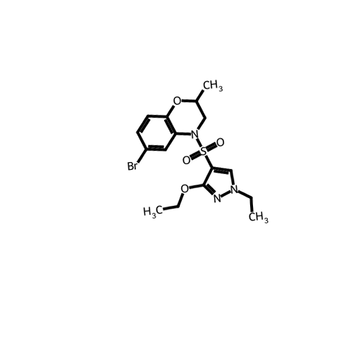 CCOc1nn(CC)cc1S(=O)(=O)N1CC(C)Oc2ccc(Br)cc21